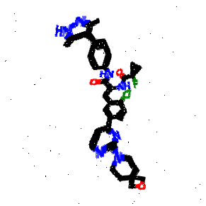 Cc1n[nH]c(C)c1-c1ccc(NC(=O)C(Cc2cc(-c3ccnc(N4CCC5(CC4)COC5)n3)ccc2Cl)NC(=O)C2(F)CC2)cc1